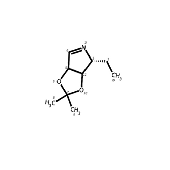 CC[C@H]1N=CC2OC(C)(C)OC21